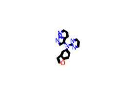 c1cnc(N(c2ccc3occc3c2)c2cnn3ncccc23)nc1